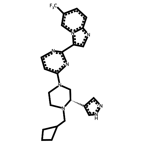 FC(F)(F)c1ccc2ncc(-c3nccc(N4CCN(CC5CCC5)[C@@H](c5cn[nH]c5)C4)n3)n2c1